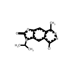 Cc1nnc(Cl)c2cc3c(cc12)oc(=O)n3C(C)C